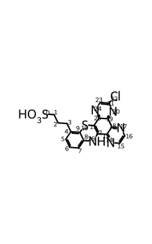 O=S(=O)(O)CCCc1cccc2c1Sc1c(c3nccnc3c3nc(Cl)cnc13)N2